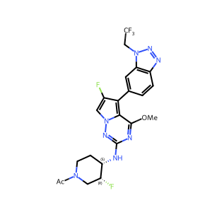 COc1nc(N[C@H]2CCN(C(C)=O)C[C@H]2F)nn2cc(F)c(-c3ccc4nnn(CC(F)(F)F)c4c3)c12